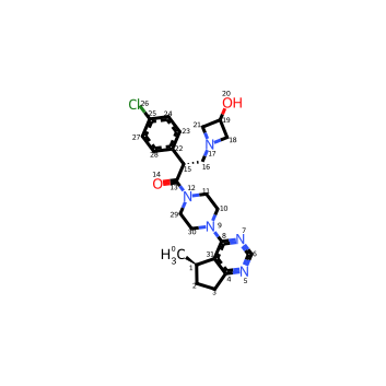 C[C@@H]1CCc2ncnc(N3CCN(C(=O)[C@@H](CN4CC(O)C4)c4ccc(Cl)cc4)CC3)c21